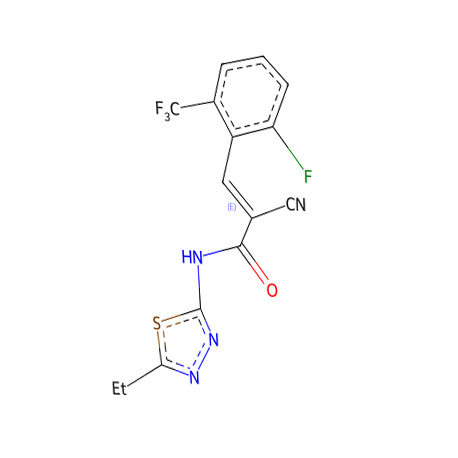 CCc1nnc(NC(=O)/C(C#N)=C/c2c(F)cccc2C(F)(F)F)s1